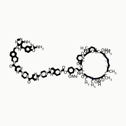 CO[C@H]1C[C@@H]2CC[C@@H](C)[C@@](O)(O2)C(=O)C(=O)N2CCCC[C@H]2C(=O)O[C@H]([C@H](N)C[C@@H]2CC[C@@H](OC(=O)N3CCc4nc(N5CCN(c6ncc(C(=O)N7CCN(c8ncc(C(=O)N9CCc%10cc(Cn%11nc(-c%12ccc%13oc(N)nc%13c%12)c%12c(N)ncnc%12%11)ccc%10C9)cn8)CC7)cn6)CC5)ncc4C3)[C@H](OC)C2)CC(=O)[C@H](C)/C=C(\C)[C@@H](O)[C@@H](O)C(=O)[C@H](C)C[C@H](C)/C=C/C=C/C=C/1C